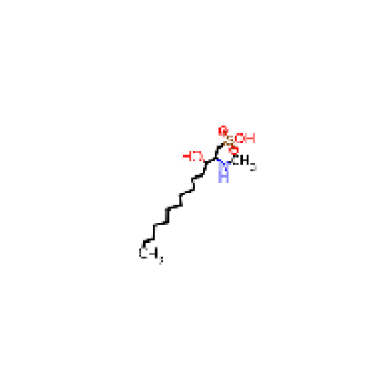 CCCCCCCCCCCC(O)C(CS(=O)(=O)O)NC